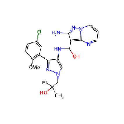 CCC(C)(O)Cn1cc(NC(O)c2c(N)nn3cccnc23)c(-c2cc(Cl)ccc2OC)n1